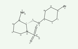 CC(C)C1CCC(OC[C@H]2C(N)CCCN2S(C)(=O)=O)CC1